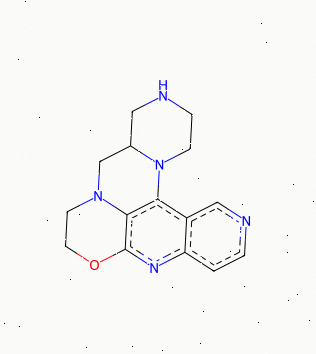 c1cc2nc3c4c(c2cn1)N1CCNCC1CN4CCO3